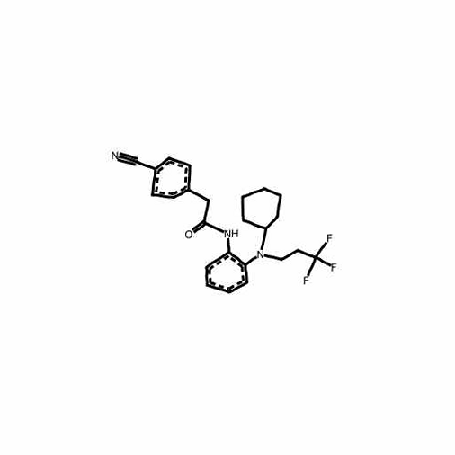 N#Cc1ccc(CC(=O)Nc2ccccc2N(CCC(F)(F)F)C2CCCCC2)cc1